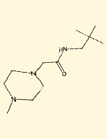 CN1CCN(CC(=O)NCC(C)(C)C)CC1